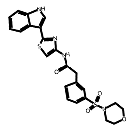 O=C(Cc1cccc(S(=O)(=O)N2CCOCC2)c1)Nc1csc(-c2c[nH]c3ccccc23)n1